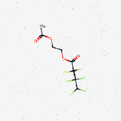 CC(C)(C)C(=O)OCCOC(=O)C(F)(F)C(F)(F)C(F)F